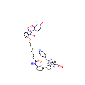 O=C1CCC(N2C(=O)c3cccc(OCCCCCCCC(=O)Nc4cccc(-c5ccc6c(c5)[C@H]5[C@H](CCN5Cc5ccncc5)[C@@H](CO)N6)c4)c3C2=O)C(=O)N1